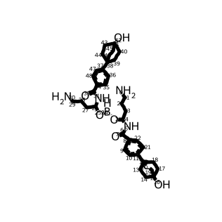 NCCCC(NC(=O)c1ccc(C23CCC(O)(CC2)CC3)cc1)OBOC(CCCN)NC(=O)c1ccc(C23CCC(O)(CC2)CC3)cc1